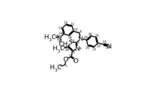 CCOC(=O)c1nc(N(Cc2cccc(N(C)C)c2)c2ccc(C#N)cc2)sc1C